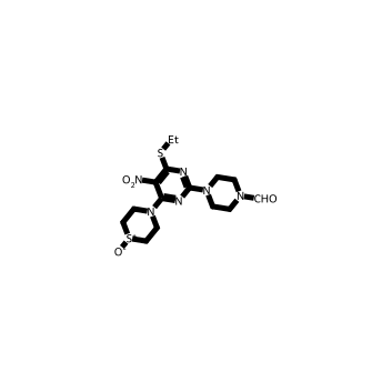 CCSc1nc(N2CCN(C=O)CC2)nc(N2CC[S+]([O-])CC2)c1[N+](=O)[O-]